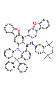 CC1(C)CCC(C)(C)c2cc(N3B4c5cccc6c5N(c5ccccc5C6(c5ccccc5)c5ccccc5)c5cc6c(oc7ccccc76)c(c54)-c4cc5oc6ccccc6c5cc43)ccc21